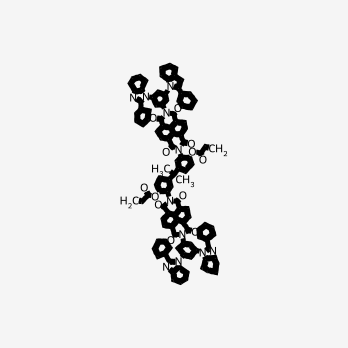 C=CC(=O)Oc1ccc(C(C)(C)c2ccc(OC(=O)C=C)c(N3C(=O)c4ccc5c6c(ccc(c46)C3=O)C(=O)N(c3cc(-n4c(-c6ccccc6)nc6ccccc64)cc(-n4c(-c6ccccc6)nc6ccccc64)c3)C5=O)c2)cc1N1C(=O)c2ccc3c4c(ccc(c24)C1=O)C(=O)N(c1cc(-n2c(-c4ccccc4)cc4ccccc42)cc(-n2c(-c4ccccc4)nc4ccccc42)c1)C3=O